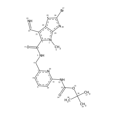 Cn1c(C(=O)NCc2cccc(NC(=O)OC(C)(C)C)n2)c(C=N)c2sc(Br)nc21